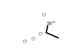 C[CH2][Sb+4].[Cl-].[Cl-].[Cl-].[Cl-]